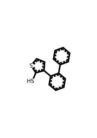 Sc1sccc1-c1ccccc1-c1ccccc1